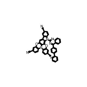 C/N=C(\N=C(/c1ccccc1)c1ccc(-c2ccccc2)cc1)n1c2ccc(C#N)cc2c2cc3c4c(c21)Oc1cc(C#N)ccc1N4c1ccc(C#N)cc1O3